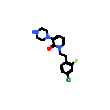 O=c1c(N2CCNCC2)cccn1CCc1ccc(Cl)cc1F